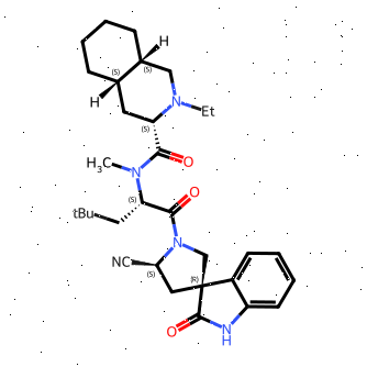 CCN1C[C@H]2CCCC[C@H]2C[C@H]1C(=O)N(C)[C@@H](CC(C)(C)C)C(=O)N1C[C@]2(C[C@H]1C#N)C(=O)Nc1ccccc12